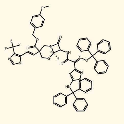 COc1ccc(COC(=O)C2(C=Cc3scnc3C(F)(F)F)CS[C@@H]3C(NC(=O)C(=NOC(c4ccccc4)(c4ccccc4)c4ccccc4)c4nsc(NC(c5ccccc5)(c5ccccc5)c5ccccc5)n4)C(=O)N3C2)cc1